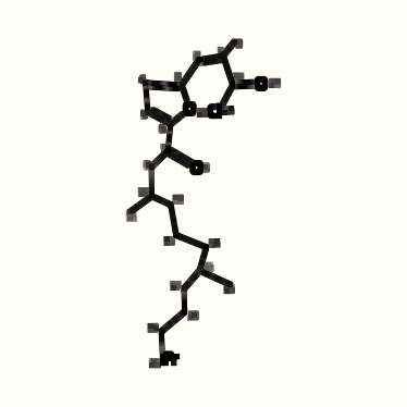 CC(=Cc1ccc(C(=O)CC(C)CCCC(C)CCCC(C)C)o1)C(=O)Cl